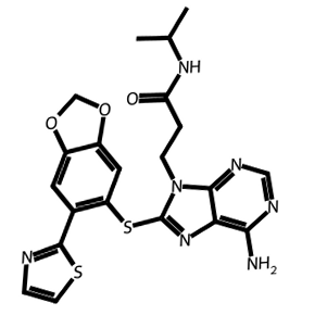 CC(C)NC(=O)CCn1c(Sc2cc3c(cc2-c2nccs2)OCO3)nc2c(N)ncnc21